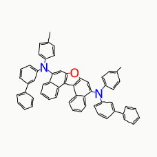 Cc1ccc(N(c2cccc(-c3ccccc3)c2)c2cc3oc4cc(N(c5ccc(C)cc5)c5cccc(-c6ccccc6)c5)c5ccccc5c4c3c3ccccc23)cc1